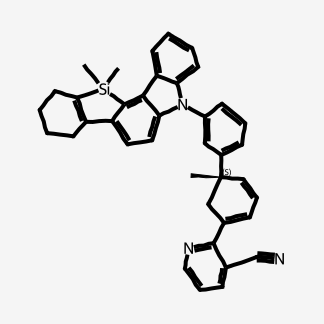 C[C@@]1(c2cccc(-n3c4ccccc4c4c5c(ccc43)C3=C(CCCC3)[Si]5(C)C)c2)C=CC=C(c2ncccc2C#N)C1